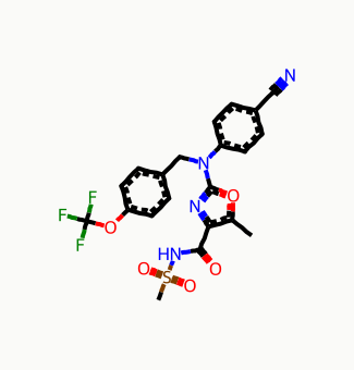 Cc1oc(N(Cc2ccc(OC(F)(F)F)cc2)c2ccc(C#N)cc2)nc1C(=O)NS(C)(=O)=O